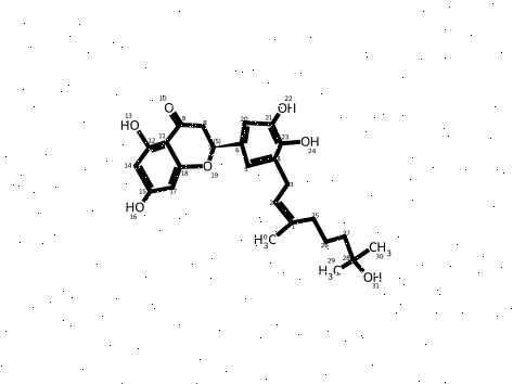 CC(=CCc1cc([C@@H]2CC(=O)c3c(O)cc(O)cc3O2)cc(O)c1O)CCCC(C)(C)O